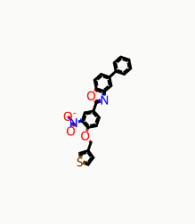 O=[N+]([O-])c1cc(-c2nc3cc(-c4ccccc4)ccc3o2)ccc1OCc1ccsc1